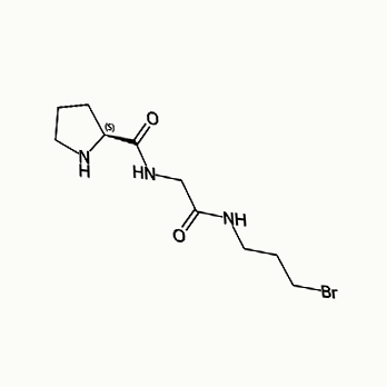 O=C(CNC(=O)[C@@H]1CCCN1)NCCCBr